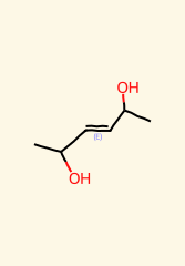 CC(O)/C=C/C(C)O